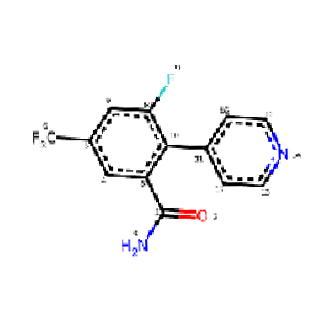 NC(=O)c1cc(C(F)(F)F)cc(F)c1-c1ccncc1